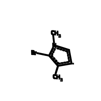 Cc1[c]cn(C)c1Br